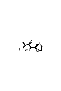 CC(O)C(=O)C(O)C1=CSC=CO1